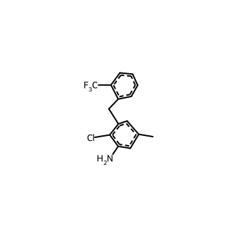 Cc1cc(N)c(Cl)c(Cc2ccccc2C(F)(F)F)c1